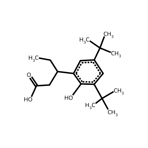 CCC(CC(=O)O)c1cc(C(C)(C)C)cc(C(C)(C)C)c1O